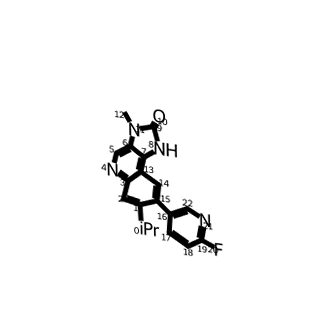 CC(C)c1cc2ncc3c([nH]c(=O)n3C)c2cc1-c1ccc(F)nc1